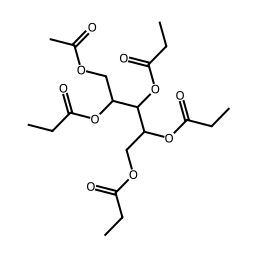 CCC(=O)OCC(OC(=O)CC)C(OC(=O)CC)C(COC(C)=O)OC(=O)CC